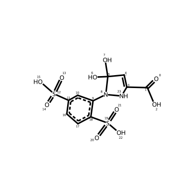 O=C(O)C1=[C]C(O)(O)N(c2cc(S(=O)(=O)O)ccc2S(=O)(=O)O)N1